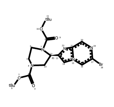 CC(C)(C)OC(=O)N1CCN(C(=O)OC(C)(C)C)[C@@H](c2cn3cc(Br)ncc3n2)C1